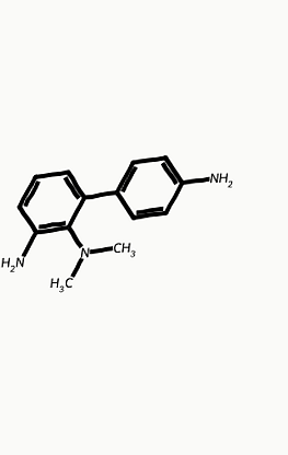 CN(C)c1c(N)cccc1-c1ccc(N)cc1